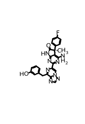 C[C@@]1(c2ccc(F)cc2)C(=O)Nc2nc(-c3cn4ncnc4c(Cc4cccc(O)c4)n3)nc(N)c21